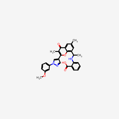 COc1cccc(-n2cc(-c3oc4c(C(C)Nc5ccccc5C(=O)O)cc(C)cc4c(=O)c3C)cn2)c1